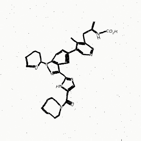 Cc1c(CC(C)NC(=O)O)cncc1-c1ccc2c(c1)c(-c1ncc(C(=O)N3CCCCCC3)[nH]1)nn2C1CCCCO1